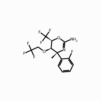 C[C@]1(c2ccccc2F)N=C(N)O[C@H](C(F)(F)F)[C@@H]1OCC(F)(F)F